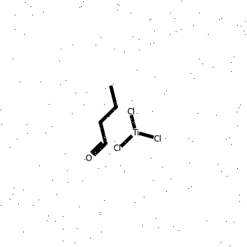 CCCC=O.[Cl][Ti]([Cl])[Cl]